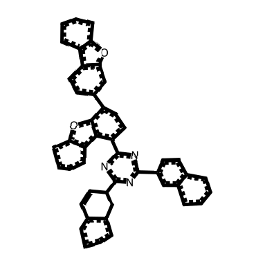 C1=CC(c2nc(-c3ccc4ccccc4c3)nc(-c3ccc(-c4ccc5c(c4)oc4ccccc45)c4oc5ccccc5c34)n2)Cc2ccccc21